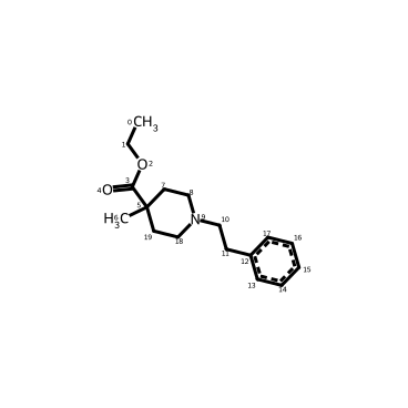 CCOC(=O)C1(C)CCN(CCc2ccccc2)CC1